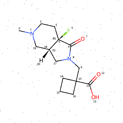 CN1CC[C@]2(F)C(=O)N(CC3(C(=O)O)CCC3)C[C@@H]2C1